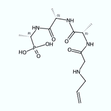 C=CCNCC(=O)N[C@@H](C)C(=O)N[C@@H](C)C(=O)N[C@@H](C)P(=O)(O)O